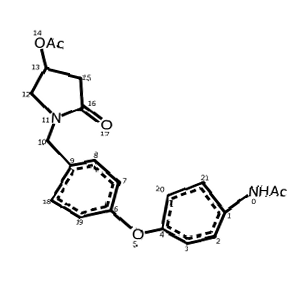 CC(=O)Nc1ccc(Oc2ccc(CN3CC(OC(C)=O)CC3=O)cc2)cc1